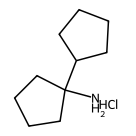 Cl.NC1(C2CCCC2)CCCC1